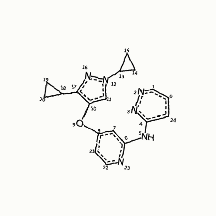 c1cnnc(Nc2cc(Oc3cn(C4CC4)nc3C3CC3)ccn2)c1